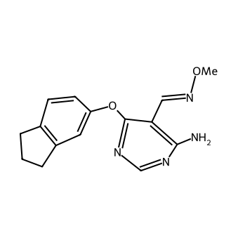 CO/N=C/c1c(N)ncnc1Oc1ccc2c(c1)CCC2